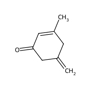 C=C1CC(=O)C=C(C)C1